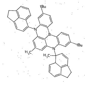 Cc1cc2c3c(c1)N(C1(C)C=CC4=C5C(=CC=CC51)CC4)c1cc(C(C)(C)C)ccc1B3c1ccc(C(C)(C)C)cc1N2c1ccc2c3c(cccc13)CC2